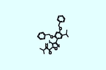 CC(C)NC(=O)c1onc(-c2cc(C(C)C)c(OCc3ccccc3)cc2OCc2ccccc2)c1I